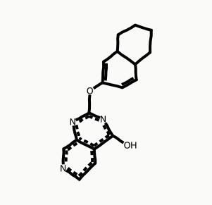 Oc1nc(OC2=CC3CCCCC3C=C2)nc2cnccc12